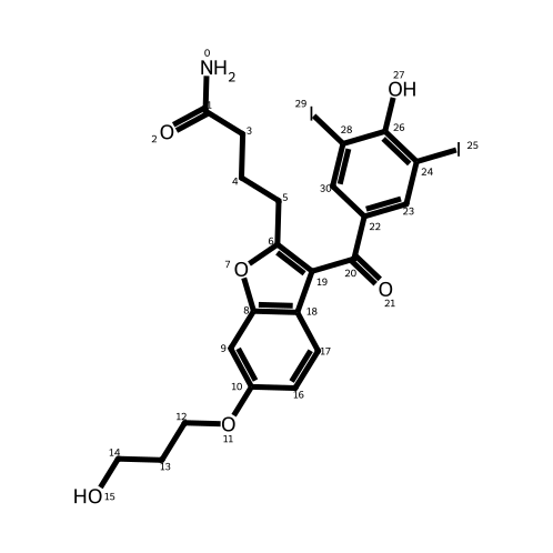 NC(=O)CCCc1oc2cc(OCCCO)ccc2c1C(=O)c1cc(I)c(O)c(I)c1